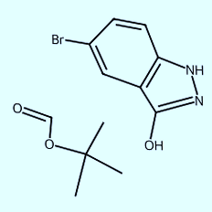 CC(C)(C)OC=O.Oc1n[nH]c2ccc(Br)cc12